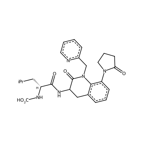 CC(C)C[C@@H](NC(=O)O)C(=O)NC1Cc2cccc(N3CCCC3=O)c2N(Cc2ccccn2)C1=O